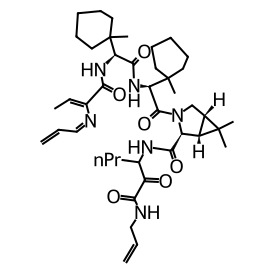 C=C/C=N\C(=C/C)C(=O)N[C@H](C(=O)N[C@H](C(=O)N1C[C@H]2[C@@H]([C@H]1C(=O)NC(CCC)C(=O)C(=O)NCC=C)C2(C)C)C1(C)CCCCC1)C1(C)CCCCC1